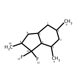 CC1CC(C)C2C(C1)CC(C)C2(F)F